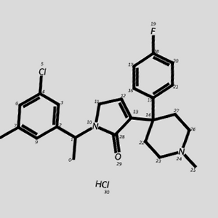 CC(c1cc(Cl)cc(Cl)c1)N1CC=C(C2(c3ccc(F)cc3)CCN(C)CC2)C1=O.Cl